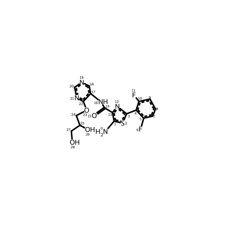 Nc1sc(-c2c(F)cccc2F)nc1C(=O)Nc1cncnc1OCC(O)CO